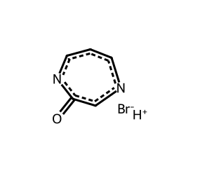 O=c1cncccn1.[Br-].[H+]